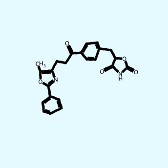 Cc1oc(-c2ccccc2)nc1CCC(=O)c1ccc(CC2OC(=O)NC2=O)cc1